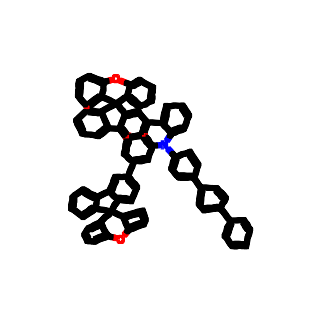 c1ccc(-c2ccc(-c3ccc(N(c4cccc(-c5ccc6c(c5)-c5ccccc5C65c6ccccc6Oc6ccccc65)c4)c4ccccc4-c4ccc5c(c4)C4(c6ccccc6Oc6ccccc64)c4ccccc4-5)cc3)cc2)cc1